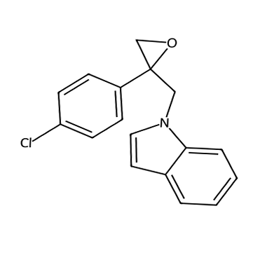 Clc1ccc(C2(Cn3ccc4ccccc43)CO2)cc1